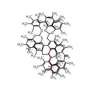 Cc1c(C)c(C)c(OP(Cc2c(C)c(C)c(C)c(CP(Oc3c(C)c(C)c(C)c(C)c3C)Oc3c(C)c(C)c(C)c(C)c3C)c2-c2c(CP(Oc3c(C)c(C)c(C)c(C)c3C)Oc3c(C)c(C)c(C)c(C)c3C)c(C)c(C)c(C)c2CP(Oc2c(C)c(C)c(C)c(C)c2C)Oc2c(C)c(C)c(C)c(C)c2C)Oc2c(C)c(C)c(C)c(C)c2C)c(C)c1C